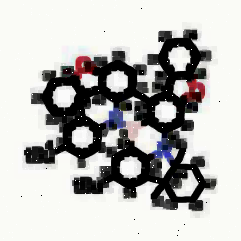 Cc1cc(C(C)(C)C)ccc1N1B2c3cc(C(C)(C)C)cc4c3N(c3cc5oc6ccccc6c5c(c32)-c2ccc3oc5ccccc5c3c21)C1(C)CCCCC41C